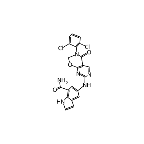 NC(=O)c1cc(Nc2ncc3c(n2)OCN(c2c(Cl)cccc2Cl)C3=O)cc2cc[nH]c12